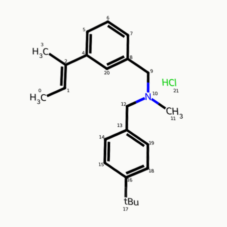 CC=C(C)c1cccc(CN(C)Cc2ccc(C(C)(C)C)cc2)c1.Cl